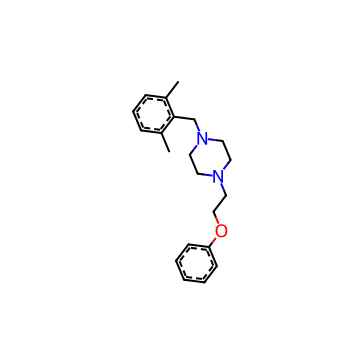 Cc1cccc(C)c1CN1CCN(CCOc2ccccc2)CC1